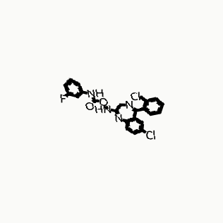 O=C(Nc1cccc(F)c1)ONC1=Nc2ccc(Cl)cc2C(c2ccccc2Cl)=NC1